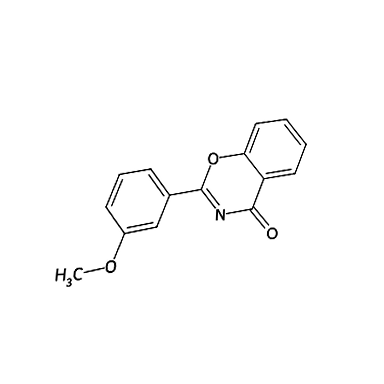 COc1cccc(-c2nc(=O)c3ccccc3o2)c1